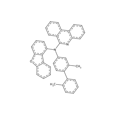 Cc1ccccc1-c1ccc(N(c2nc3ccccc3c3ccccc23)c2cccc3oc4ccccc4c23)cc1C